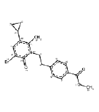 COC(=O)c1ccc(CCn2c(C)c(C3CC3)cc(Br)c2=O)cc1